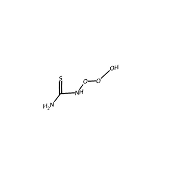 NC(=S)NOOO